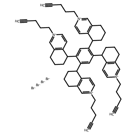 C#CCCC[n+]1ccc2c(c1)CCCC2c1cc(C2CCCc3c[n+](CCCC#C)ccc32)c(C2CCCc3c[n+](CCCC#C)ccc32)cc1C1CCCc2c[n+](CCCC#C)ccc21.[Br-].[Br-].[Br-].[Br-]